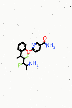 CC(N)C(F)C(F)C(C)c1ccccc1Oc1ccc(C(N)=O)cn1